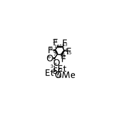 CC[Si](CC)(COC(=O)c1c(F)c(F)c(F)c(F)c1F)OC